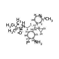 Cc1cc([C@](CCN[S@+]([O-])C(C)(C)C)(c2ccc(F)c(N)c2)C2CC2)ccn1